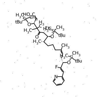 CC[C@@H](C(=O)C(C)(C)[C@H](CC(=O)O)O[Si](C)(C)C(C)(C)C)[C@@H](O[Si](C)(C)C(C)(C)C)[C@@H](C)CCC/C(C)=C\C[C@H](O[Si](C)(C)C(C)(C)C)/C(F)=C/c1ccccn1